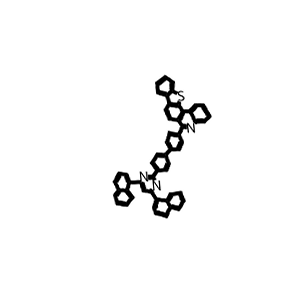 c1ccc2c(-c3cc(-c4cccc5ccccc45)nc(-c4ccc(-c5ccc(-c6nc7ccccc7c7c6ccc6c8ccccc8sc67)cc5)cc4)n3)cccc2c1